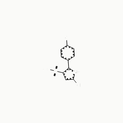 O=S(=O)(c1cc(Cl)[nH]c1-c1ccc(Cl)cc1)C(F)(F)F